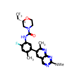 CNc1ncc2cc(-c3cc(NC(=O)N4CCO[C@@H](CC(F)(F)F)C4)c(F)cc3C)c(C)nc2n1